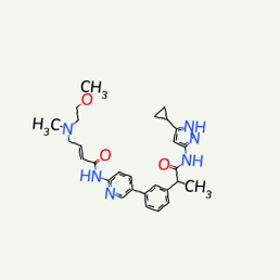 COCCN(C)C/C=C/C(=O)Nc1ccc(-c2cccc(C(C)C(=O)Nc3cc(C4CC4)[nH]n3)c2)cn1